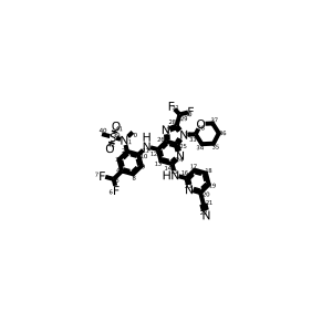 CN(c1cc(C(F)F)ccc1Nc1cc(Nc2cccc(C#N)n2)nc2c1nc(C(F)F)n2C1CCCCO1)S(C)(=O)=O